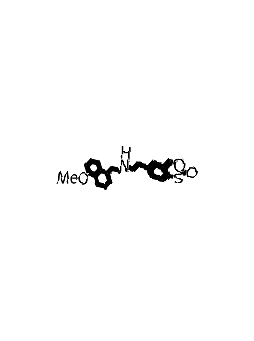 COc1cccc2c1CCCC2CCNCCc1ccc2c(c1)COC(=O)S2